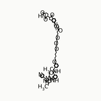 CCCCC(CCI)(Nc1cccc(C(=O)N[C@H](C)c2cccc(OCCCCCCOCCOCCOCCCC(=O)N3CCN(c4ccc5c(c4)CC(C4CCC(=O)NC4=O)C5=O)CC3)c2)c1)c1nnc(-c2ccncc2)[nH]1